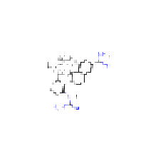 CS(=O)(=O)O.CS(=O)(=O)O.N=C(N)Nc1cccc(C(=O)O)c1-c1ccc2cc(C(=N)N)ccc2c1